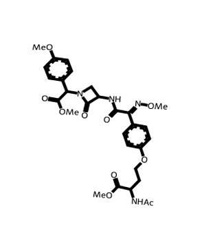 CON=C(C(=O)NC1CN(C(C(=O)OC)c2ccc(OC)cc2)C1=O)c1ccc(OCCC(NC(C)=O)C(=O)OC)cc1